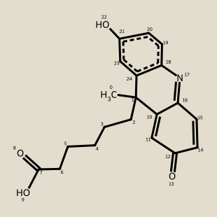 CC1(CCCCCC(=O)O)C2=CC(=O)C=CC2=Nc2ccc(O)cc21